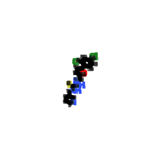 S=C(NCc1cccnc1)N/N=C/c1ccc(-c2ccc(Cl)cc2Cl)o1